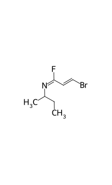 CCC(C)/N=C(F)\C=C\Br